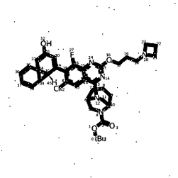 CC(C)(C)OC(=O)N1CC2CCCC1CN2c1nc(OCCCN2CCC2)nc2c(F)c(C3=CC(O)=CC45C=CC=CC4[C@H]35)c(Cl)cc12